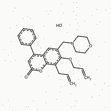 C=CCOc1c(CN2CCOCC2)cc2c(-c3ccccc3)cc(=O)oc2c1CC=C.Cl